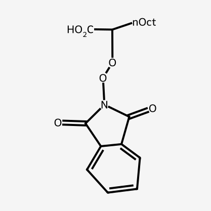 CCCCCCCCC(OON1C(=O)c2ccccc2C1=O)C(=O)O